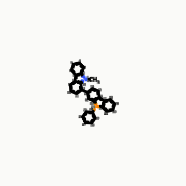 Cn1c2ccccc2c2cccc(-c3ccc4c5ccccc5p(-c5ccccc5)c4c3)c21